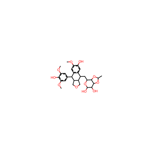 COc1cc2c(cc1O)C(CC1OC(O)C(O)C3OC(C)OC13)C1COCC1C2c1cc(OC)c(O)c(OC)c1